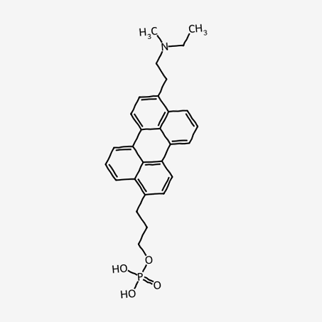 CCN(C)CCc1ccc2c3cccc4c(CCCOP(=O)(O)O)ccc(c5cccc1c52)c43